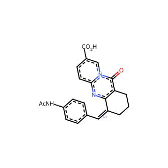 CC(=O)Nc1ccc(/C=C2/CCCc3c2nc2ccc(C(=O)O)cn2c3=O)cc1